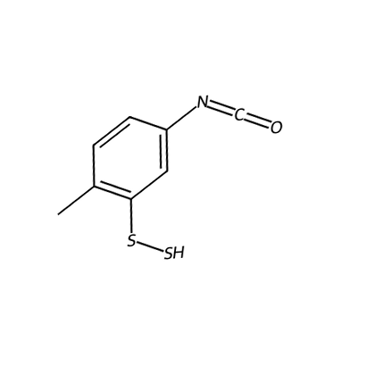 Cc1ccc(N=C=O)cc1SS